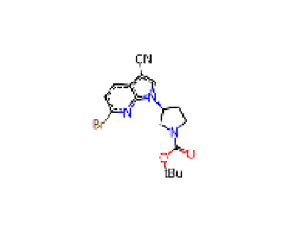 CC(C)(C)OC(=O)N1CC[C@H](n2cc(C#N)c3ccc(Br)nc32)C1